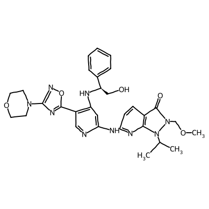 COCn1c(=O)c2ccc(Nc3cc(N[C@H](CO)c4ccccc4)c(-c4nc(N5CCOCC5)no4)cn3)nc2n1C(C)C